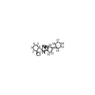 Clc1ccccc1-c1nc2ccc(-c3ccccc3)cn2n1